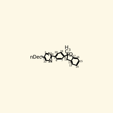 CCCCCCCCCCc1cnc(-c2ccc(C3(C)Cc4ccccc4O3)cc2)nc1